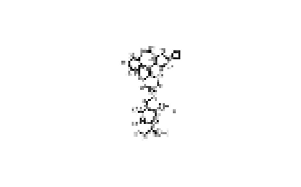 Cc1nc2n(c(=O)c1CCN1CCC(=C3c4ccc(Cl)cc4CCc4cccnc43)CC1)CCCC2O